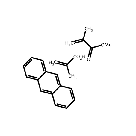 C=C(C)C(=O)O.C=C(C)C(=O)OC.c1ccc2cc3ccccc3cc2c1